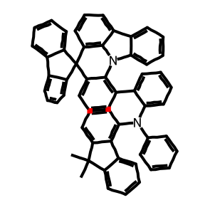 CC1(C)c2ccccc2-c2c(N(c3ccccc3)c3ccccc3-c3cccc4c3-n3c5ccccc5c5cccc(c53)C43c4ccccc4-c4ccccc43)cccc21